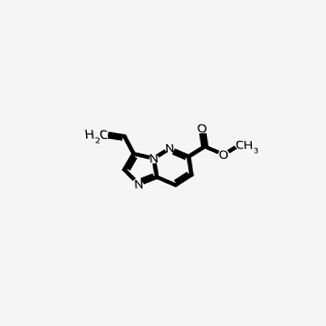 C=Cc1cnc2ccc(C(=O)OC)nn12